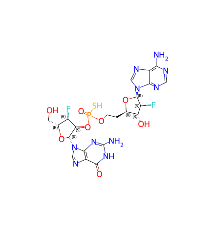 Nc1nc2c(ncn2[C@@H]2O[C@H](CO)[C@@H](F)[C@H]2OP(=O)(S)OCC[C@H]2O[C@@H](n3cnc4c(N)ncnc43)[C@@H](F)[C@@H]2O)c(=O)[nH]1